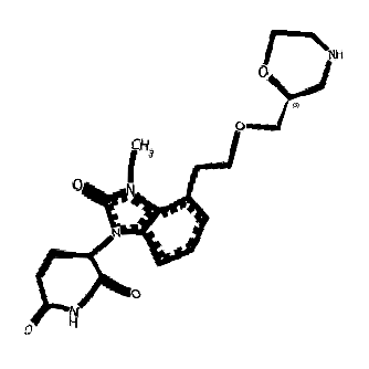 Cn1c(=O)n(C2CCC(=O)NC2=O)c2cccc(CCOC[C@@H]3CNCCO3)c21